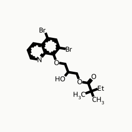 CCC(C)(C)C(=O)OCC(O)COc1c(Br)cc(Br)c2cccnc12